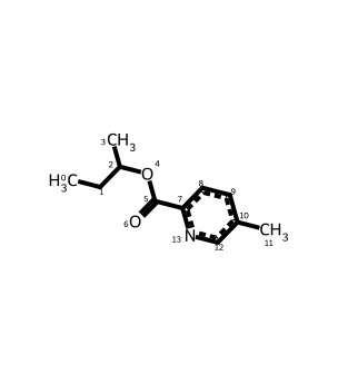 CCC(C)OC(=O)c1ccc(C)cn1